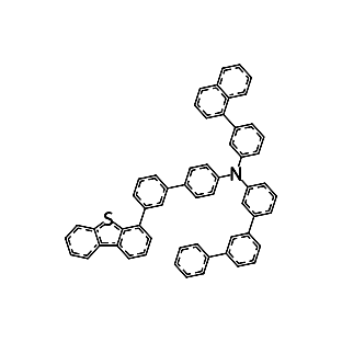 c1ccc(-c2cccc(-c3cccc(N(c4ccc(-c5cccc(-c6cccc7c6sc6ccccc67)c5)cc4)c4cccc(-c5cccc6ccccc56)c4)c3)c2)cc1